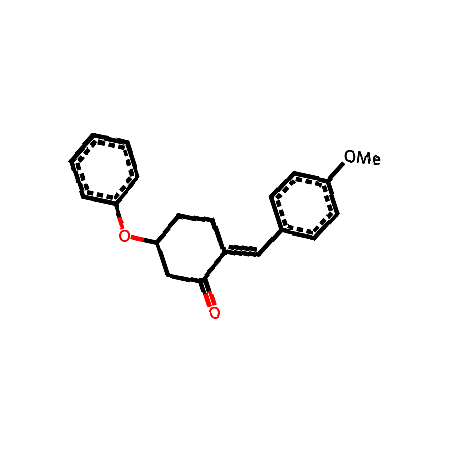 COc1ccc(C=C2CCC(Oc3ccccc3)CC2=O)cc1